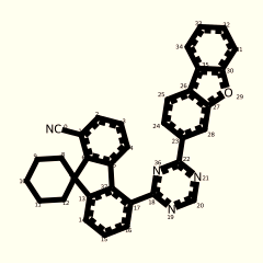 N#Cc1cccc2c1C1(CCCCC1)c1cccc(-c3ncnc(-c4ccc5c(c4)oc4ccccc45)n3)c1-2